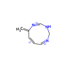 C=C1/C=C\C=N/CN/C=N\1